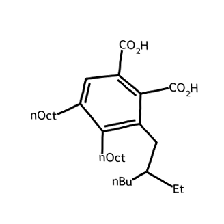 CCCCCCCCc1cc(C(=O)O)c(C(=O)O)c(CC(CC)CCCC)c1CCCCCCCC